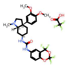 COc1ccc([C@@]23CC[C@@H](NC(=O)Nc4ccc5c(c4)C(F)(F)OC(F)(F)O5)C[C@@H]2N(C)CC3)cc1OC.O=C(O)C(F)(F)F